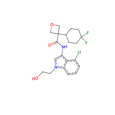 O=C(Nc1cn(CCO)c2cccc(Cl)c12)C1(C2CCC(F)(F)CC2)COC1